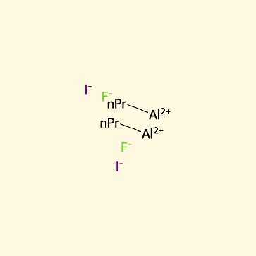 CC[CH2][Al+2].CC[CH2][Al+2].[F-].[F-].[I-].[I-]